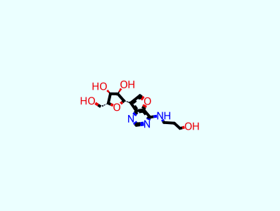 OCCCNc1ncnc2c([C@@H]3O[C@H](CO)[C@@H](O)[C@H]3O)coc12